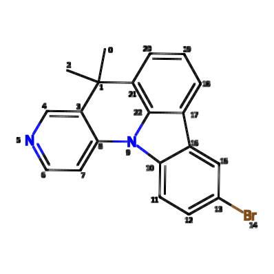 CC1(C)c2cnccc2-n2c3ccc(Br)cc3c3cccc1c32